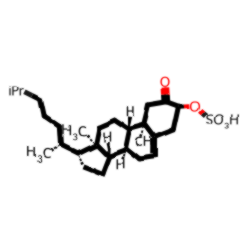 CC(C)CCC[C@@H](C)[C@H]1CC[C@H]2[C@@H]3CC=C4CC(OS(=O)(=O)O)C(=O)C[C@]4(C)[C@H]3CC[C@]12C